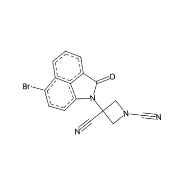 N#CN1CC(C#N)(N2C(=O)c3cccc4c(Br)ccc2c34)C1